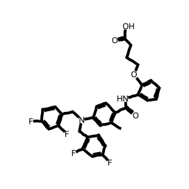 Cc1cc(N(Cc2ccc(F)cc2F)Cc2ccc(F)cc2F)ccc1C(=O)Nc1ccccc1OCCCC(=O)O